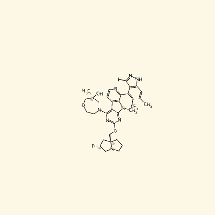 Cc1cc2[nH]nc(I)c2c(-c2nccc3c4c(N5CCOC[C@@](C)(O)C5)nc(OC[C@@]56CCCN5C[C@H](F)C6)nc4n(C)c23)c1C(F)(F)F